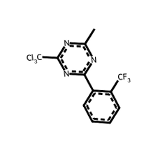 Cc1nc(-c2ccccc2C(F)(F)F)nc(C(Cl)(Cl)Cl)n1